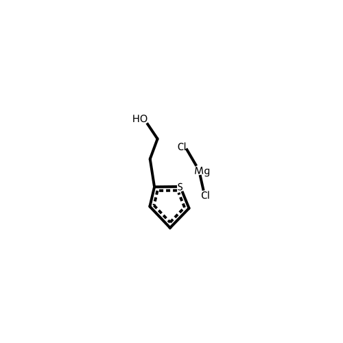 OCCc1cccs1.[Cl][Mg][Cl]